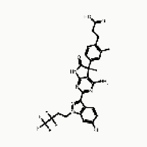 Cc1cc([C@@]2(C)C(=O)Nc3nc(-c4nn(CCC(F)(F)C(F)(F)F)c5cc(Cl)ccc45)nc(N)c32)ccc1CCC(=O)O